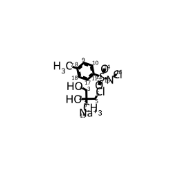 CC(O)(CO)CCl.Cc1ccc(S(=O)(=O)[N-]Cl)cc1.[Na+]